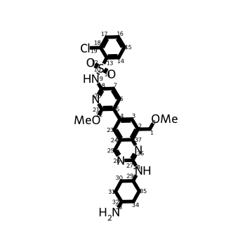 COCc1cc(-c2ccc(NS(=O)(=O)c3ccccc3Cl)nc2OC)cc2cnc(NC3CCC(N)CC3)nc12